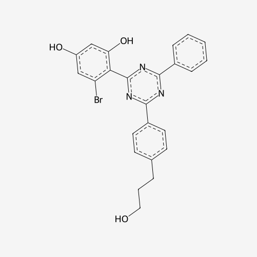 OCCCc1ccc(-c2nc(-c3ccccc3)nc(-c3c(O)cc(O)cc3Br)n2)cc1